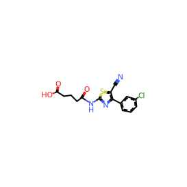 N#Cc1sc(NC(=O)CCCC(=O)O)nc1-c1cccc(Cl)c1